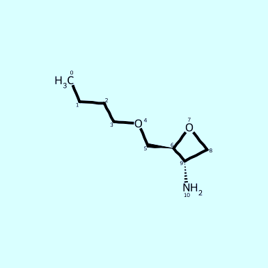 CCCCOC[C@H]1OC[C@@H]1N